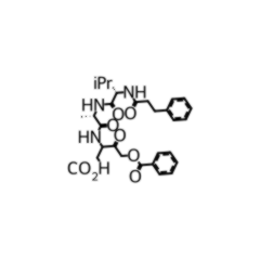 CC(C)[C@H](NC(=O)CCc1ccccc1)C(=O)N[C@@H](C)C(=O)NC(CC(=O)O)C(=O)COC(=O)c1ccccc1